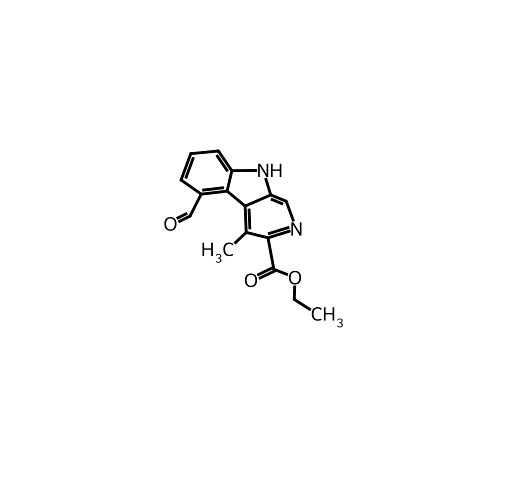 CCOC(=O)c1ncc2[nH]c3cccc(C=O)c3c2c1C